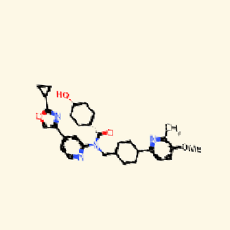 COc1ccc(C2CCC(CN(c3cc(-c4coc(C5CC5)n4)ccn3)C(=O)[C@H]3CC[C@@H](O)CC3)CC2)nc1C